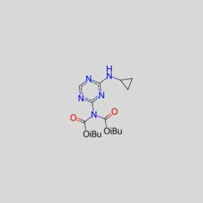 CC(C)COC(=O)N(C(=O)OCC(C)C)c1ncnc(NC2CC2)n1